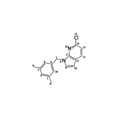 Cc1cc(C)cc(Cn2ccc3ccc(Cl)nc32)c1